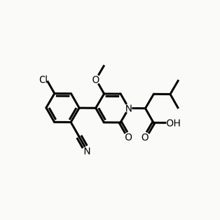 COc1cn(C(CC(C)C)C(=O)O)c(=O)cc1-c1cc(Cl)ccc1C#N